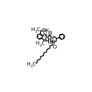 CCCCCCCCCCCC(=O)NCC(CNC(=O)NNc1c(C(C)C)cccc1C(C)C)c1ccccc1